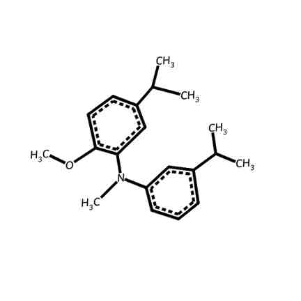 COc1ccc(C(C)C)cc1N(C)c1cccc(C(C)C)c1